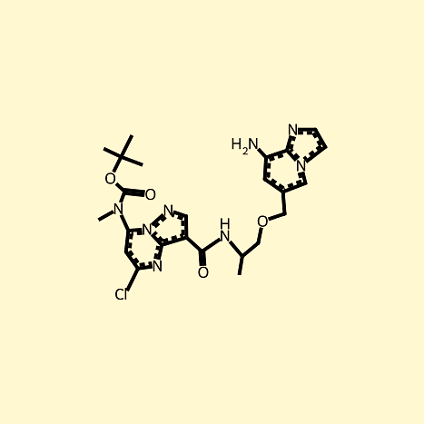 CC(COCc1cc(N)c2nccn2c1)NC(=O)c1cnn2c(N(C)C(=O)OC(C)(C)C)cc(Cl)nc12